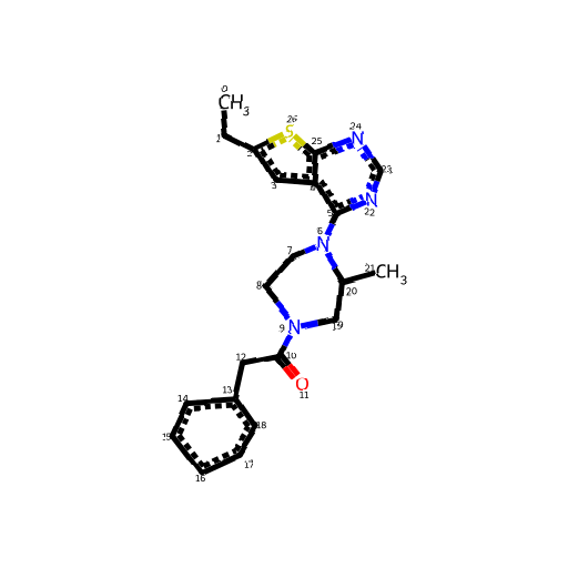 CCc1cc2c(N3CCN(C(=O)Cc4ccccc4)CC3C)ncnc2s1